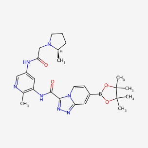 Cc1ncc(NC(=O)CN2CCC[C@H]2C)cc1NC(=O)c1nnc2cc(B3OC(C)(C)C(C)(C)O3)ccn12